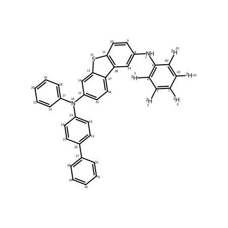 [2H]c1c([2H])c([2H])c(Nc2ccc3sc4cc(N(c5ccccc5)c5ccc(-c6ccccc6)cc5)ccc4c3c2)c([2H])c1[2H]